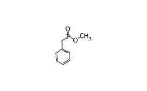 CO[P](=O)Cc1ccccc1